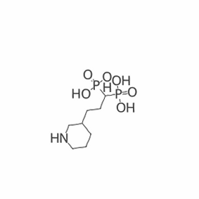 O=P(O)(O)C(CCC1CCCNC1)P(=O)(O)O